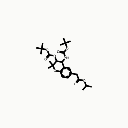 CC(C)OC(=O)Cc1ccc2c(c1)C(NC(=O)OC(C)(C)C)C(OC(=O)OC(C)(C)C)C(C)(C)O2